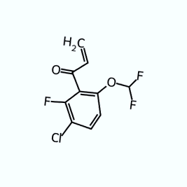 C=CC(=O)c1c(OC(F)F)ccc(Cl)c1F